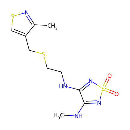 CNC1=NS(=O)(=O)N=C1NCCSCc1csnc1C